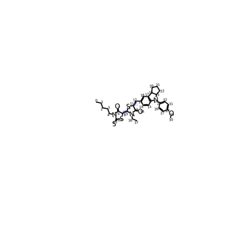 CCCCCN1C(=O)/C(=c2\s/c(=C/c3ccc4c(c3)C3CCCC3N4c3ccc(OC)cc3)c(=O)n2CC)SC1=S